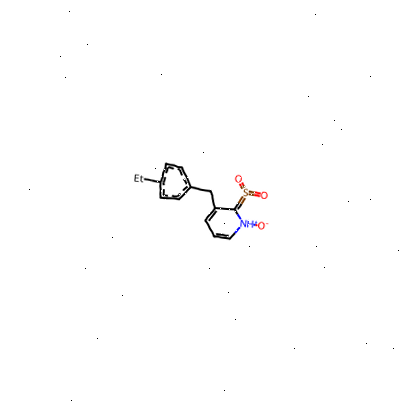 CCc1ccc(CC2=CC=C[NH+]([O-])C2=S(=O)=O)cc1